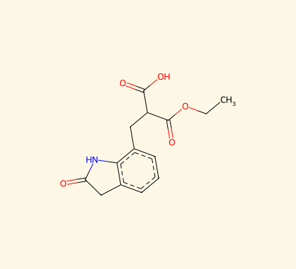 CCOC(=O)C(Cc1cccc2c1NC(=O)C2)C(=O)O